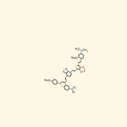 CCN(CC)c1ccc2c(c1)C(/C=C/c1ccc(/C=C/c3sc(/C=C/c4ccc(N(C)C)cc4OC)c4c3OCCO4)c3nsnc13)=CC(c1ccc(OC)cc1)S2